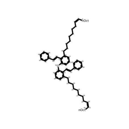 CCCCCCCC/C=C\CCCCCCCCc1cccc(Oc2cccc(CCCCCCCC/C=C\CCCCCCCC)c2C=Cc2ccccc2)c1C=Cc1ccccc1